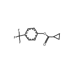 O=C(Oc1ccc(C(F)(F)F)cc1)C1CC1